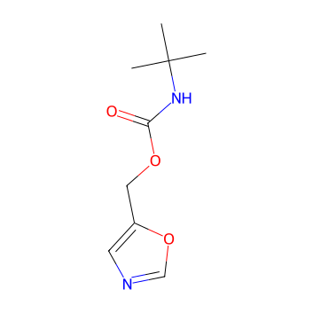 CC(C)(C)NC(=O)OCc1cnco1